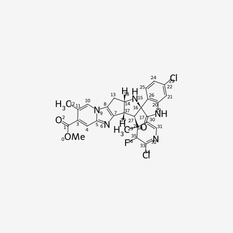 COC(=O)c1cc2nc3c(n2cc1C)C[C@@H]1N[C@@]2(C(=O)Nc4cc(Cl)ccc42)[C@@H](C2(C)C=CN=C(Cl)C2F)[C@H]31